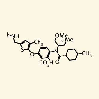 COCC(COC)N(c1ccc(Oc2sc(CNI)cc2C(F)(F)F)cc1C(=O)O)C(=O)[C@H]1CC[C@H](C)CC1